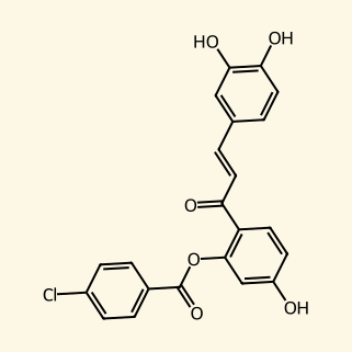 O=C(Oc1cc(O)ccc1C(=O)/C=C/c1ccc(O)c(O)c1)c1ccc(Cl)cc1